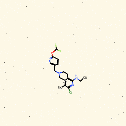 N#CCNc1nc(Cl)c(C#N)c2c1CCN(Cc1ccc(OC(F)F)nc1)C2